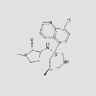 C[C@@H]1CNC[C@](NC2CCN(C)C2=O)(c2ccc(Cl)c3ncccc23)C1